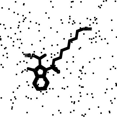 CCCCCCCCCCCCCCCCCC(=O)c1c(C(C)C(=O)O)n(C)c2ccccc12